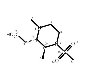 C[C@H]1[C@H](CC(=O)O)N(C)CCN1S(C)(=O)=O